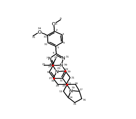 COc1ccc(-c2nc3ccc(C4CC5CCC(C4)N5C4CCN(C(C)C)CC4)cn3n2)cc1OC